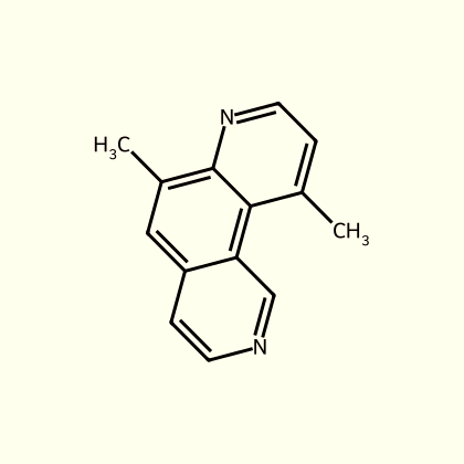 Cc1cc2ccncc2c2c(C)ccnc12